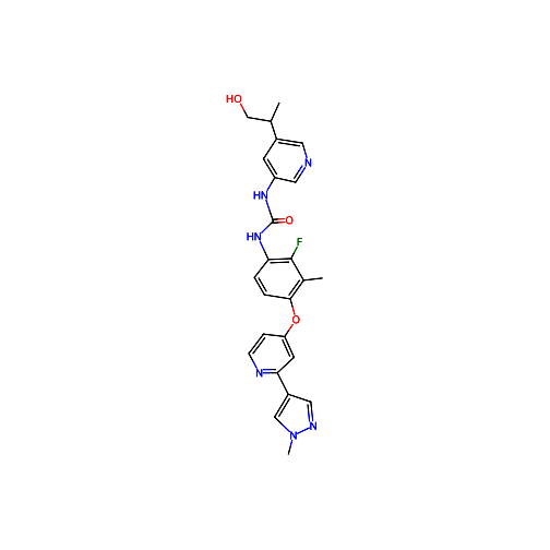 Cc1c(Oc2ccnc(-c3cnn(C)c3)c2)ccc(NC(=O)Nc2cncc(C(C)CO)c2)c1F